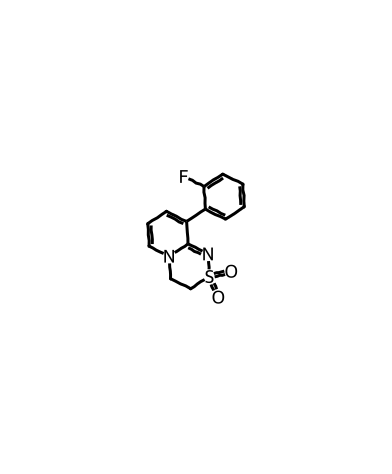 O=S1(=O)CCN2C=CC=C(c3ccccc3F)C2=N1